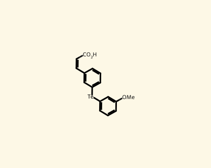 COc1cccc([Te]c2cccc(/C=C\C(=O)O)c2)c1